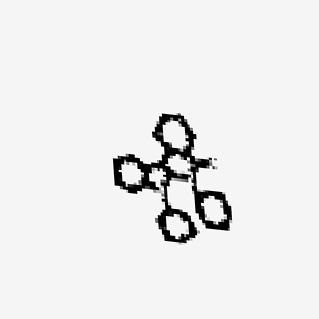 O=c1c2ccccc2c2c3ccccc3n(-c3ccccc3)c2n1-c1ccccc1